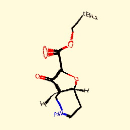 CC(C)(C)COC(=O)C1O[C@@H]2CCN[C@@H]2C1=O